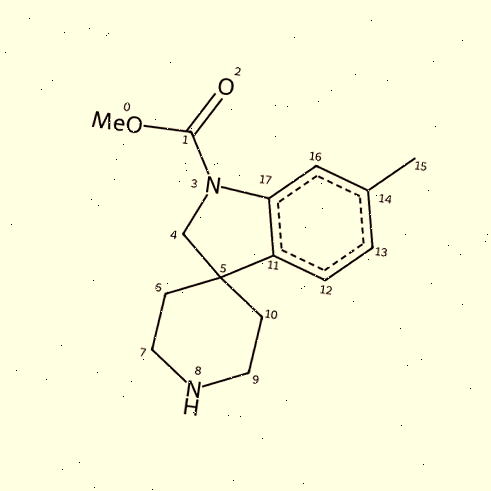 COC(=O)N1CC2(CCNCC2)c2ccc(C)cc21